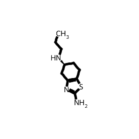 CCCN[C@H]1CCc2sc(N)nc2C1